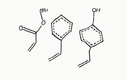 C=CC(=O)OC(C)(C)C.C=Cc1ccc(O)cc1.C=Cc1ccccc1